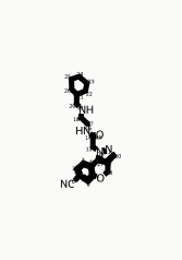 N#Cc1ccc2c(c1)OCc1cnn(CC(=O)NCCNCC3CCCCC3)c1-2